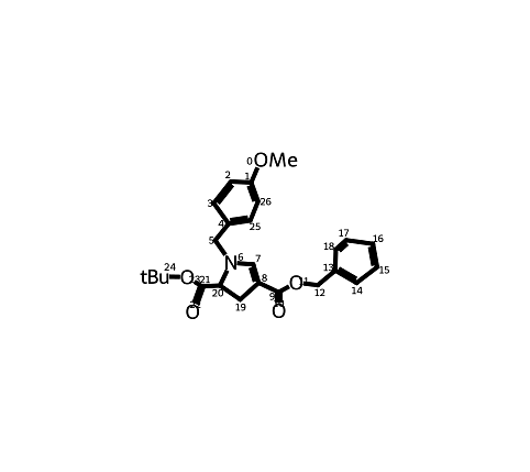 COc1ccc(CN2C=C(C(=O)OCc3ccccc3)CC2C(=O)OC(C)(C)C)cc1